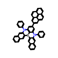 c1ccc(N2c3cc4ccccc4cc3B3c4cc5ccccc5cc4N(c4ccccc4)c4cc(-c5cc6ccc7cccc8ccc(c5)c6c78)cc2c43)cc1